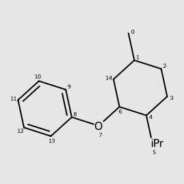 CC1CCC(C(C)C)C(Oc2ccccc2)C1